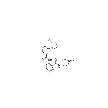 Cc1ccc(NC(=O)c2cccc(N3CCCC3=O)c2)c(C(=O)NC2CCN(C(C)C)CC2)c1